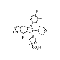 Cc1cc(-n2c(C3CCOCC3)c([C@@H]3CO[C@@](C)(C(=O)O)C3)c3c(F)c4[nH]ncc4cc32)ccc1F